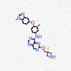 Cc1cc(Nc2ncnc3cnc(OCC4(F)CNC4)nc23)ccc1Oc1ccc2c(c1)ncn2C